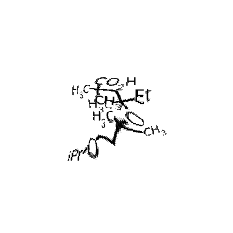 CCC(C)(CC(C)(C)C(=O)O)OC(C)(C)CCOC(C)C